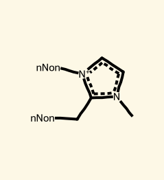 CCCCCCCCCCc1n(C)cc[n+]1CCCCCCCCC